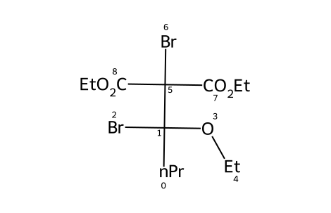 CCCC(Br)(OCC)C(Br)(C(=O)OCC)C(=O)OCC